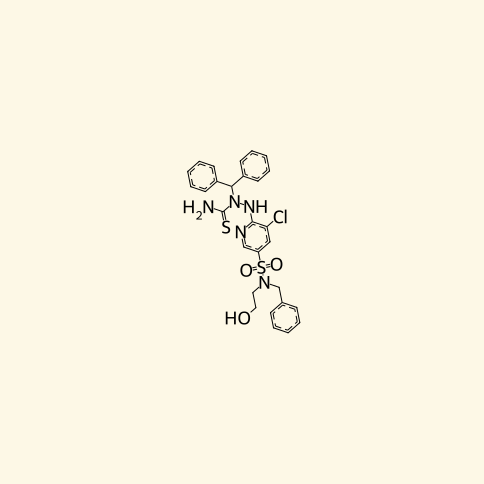 NC(=S)N(Nc1ncc(S(=O)(=O)N(CCO)Cc2ccccc2)cc1Cl)C(c1ccccc1)c1ccccc1